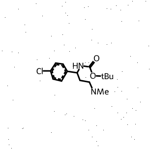 CNCCC(NC(=O)OC(C)(C)C)c1ccc(Cl)cc1